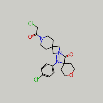 O=C(CCl)N1CCC2(CC1)CN(C(=O)C1(Nc3ccc(Cl)cc3)CCOCC1)C2